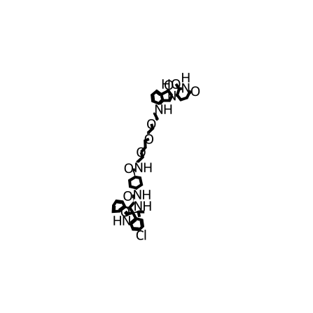 CC1(C)N[C@@H](C(=O)N[C@H]2CC[C@H](C(=O)NCCOCCOCCOCCNc3cccc4c3CN(C3CCC(=O)NC3O)C4=O)CC2)[C@H](c2ccccc2)[C@]12C(=O)Nc1cc(Cl)ccc12